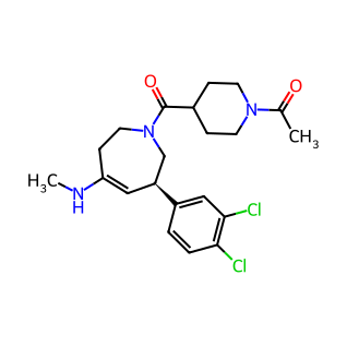 CNC1=C[C@H](c2ccc(Cl)c(Cl)c2)CN(C(=O)C2CCN(C(C)=O)CC2)CC1